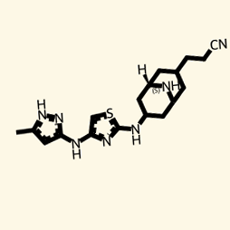 Cc1cc(Nc2csc(NC3CC4CC(CCC#N)C[C@@H](C3)N4)n2)n[nH]1